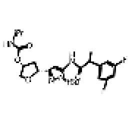 CC(C)NC(=O)O[C@H]1CO[C@@H](c2cc(NC(=O)C(C)c3cc(F)cc(F)c3)n(C(C)(C)C)n2)C1